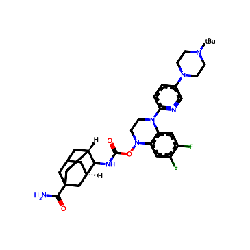 CC(C)(C)N1CCN(c2ccc(N3CCN(OC(=O)NC4[C@@H]5CC6C[C@H]4CC(C(N)=O)(C6)C5)c4cc(F)c(F)cc43)nc2)CC1